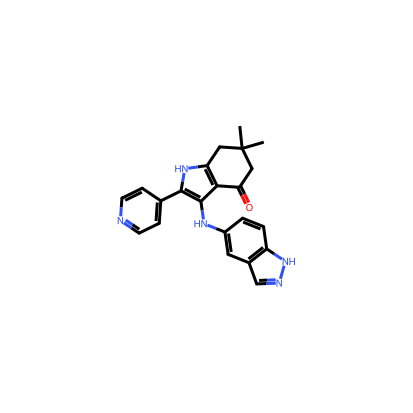 CC1(C)CC(=O)c2c([nH]c(-c3ccncc3)c2Nc2ccc3[nH]ncc3c2)C1